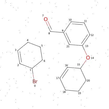 BrC1C=CCCC1.O=Cc1cccc(OC2C=CCCC2)c1